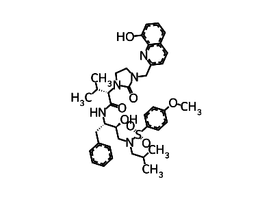 COc1ccc(S(=O)(=O)N(CC(C)C)C[C@H](O)[C@H](Cc2ccccc2)NC(=O)[C@H](C(C)C)N2CCN(Cc3ccc4cccc(O)c4n3)C2=O)cc1